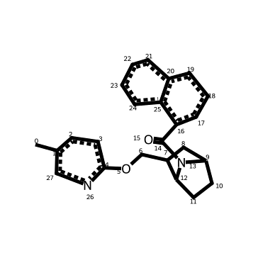 Cc1ccc(OCC2CC3CCC2N3C(=O)c2cccc3ccccc23)nc1